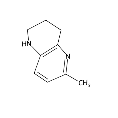 Cc1ccc2c(n1)CCCN2